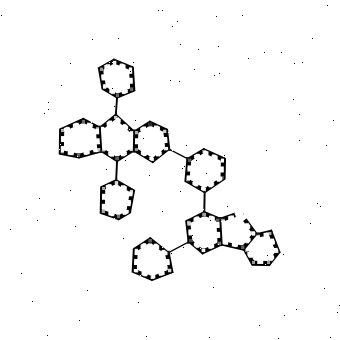 c1ccc(-c2cc(-c3cccc(-c4ccc5c(-c6ccccc6)c6ccccc6c(-c6ccccc6)c5c4)c3)c3sc4ccccc4c3c2)cc1